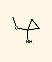 COC1(N)CC1